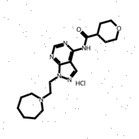 Cl.O=C(Nc1ncnc2c1cnn2CCN1CCCCCC1)C1CCOCC1